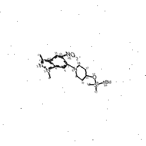 Cc1nn(C)c2cc(N3CCC(O[Si](C)(C)C(C)(C)C)CC3)c([N+](=O)[O-])cc12